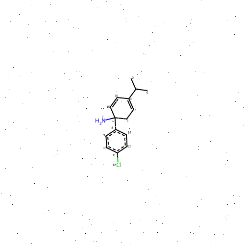 CC(C)C1=CCC(N)(c2ccc(Cl)cc2)C=C1